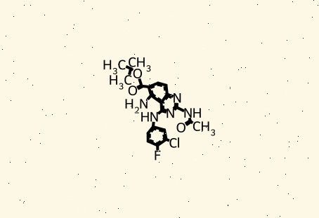 CC(=O)Nc1nc(Nc2ccc(F)c(Cl)c2)c2c(N)c(C(=O)OC(C)(C)C)ccc2n1